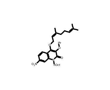 CCCCCCCCn1c(=O)c(OC(C)C)c(OCC=C(C)CCC=C(C)C)c2ccc([N+](=O)[O-])cc21